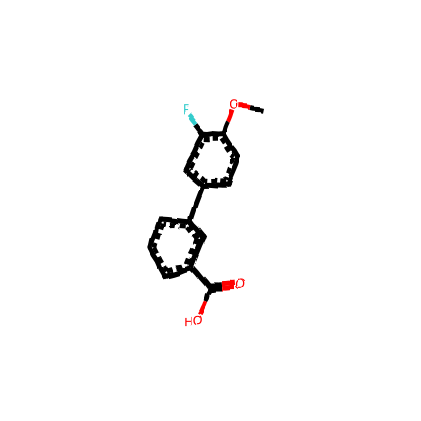 COc1ccc(-c2cccc(C(=O)O)c2)cc1F